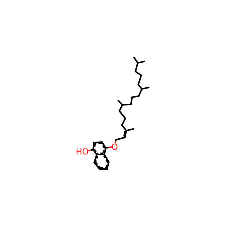 CC(=CCOc1ccc(O)c2ccccc12)CCCC(C)CCCC(C)CCCC(C)C